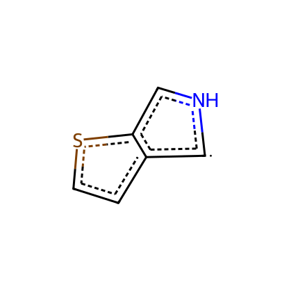 [c]1[nH]cc2sccc12